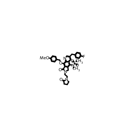 COc1ccc(COc2c3c(c(N(C)S(C)(=O)=O)c4cc(Cc5ccc(F)cc5)cnc24)CN(CCN2CCCC2=O)C3=O)cc1